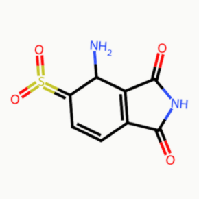 NC1C2=C(C=CC1=S(=O)=O)C(=O)NC2=O